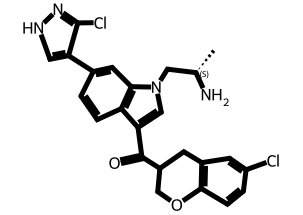 C[C@H](N)Cn1cc(C(=O)C2COc3ccc(Cl)cc3C2)c2ccc(-c3c[nH]nc3Cl)cc21